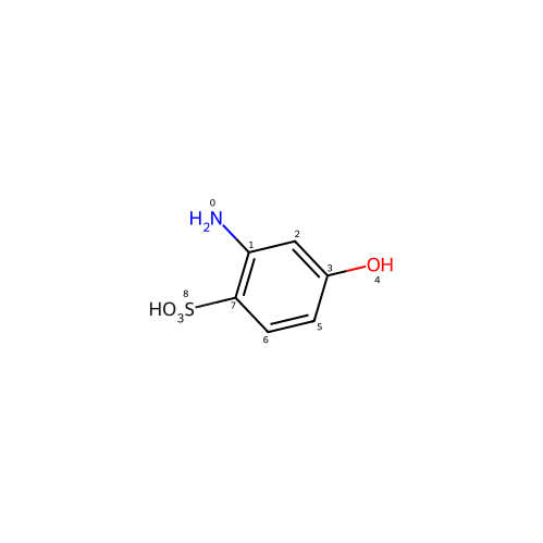 Nc1cc(O)ccc1S(=O)(=O)O